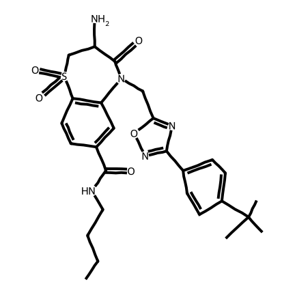 CCCCNC(=O)c1ccc2c(c1)N(Cc1nc(-c3ccc(C(C)(C)C)cc3)no1)C(=O)C(N)CS2(=O)=O